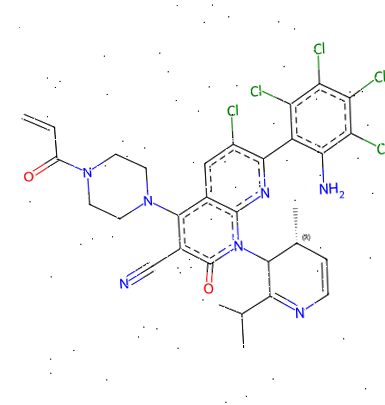 C=CC(=O)N1CCN(c2c(C#N)c(=O)n(C3C(C(C)C)=NC=C[C@H]3C)c3nc(-c4c(N)c(Cl)c(Cl)c(Cl)c4Cl)c(Cl)cc23)CC1